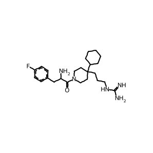 N=C(N)NCCCC1(C2CCCCC2)CCN(C(=O)C(N)Cc2ccc(F)cc2)CC1